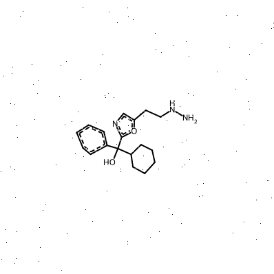 NNCCc1cnc(C(O)(c2ccccc2)C2CCCCC2)o1